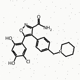 NC(=O)c1noc(-c2cc(Cl)c(O)cc2O)c1-c1ccc(CN2CCCCC2)cc1